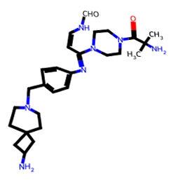 CC(C)(N)C(=O)N1CCN(C(/C=C\NC=O)=N/c2ccc(CN3CCC4(CC3)CC(N)C4)cc2)CC1